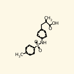 C=C(Cc1ccc(NS(=O)(=O)c2ccc(C)cc2)cc1)C(=O)O